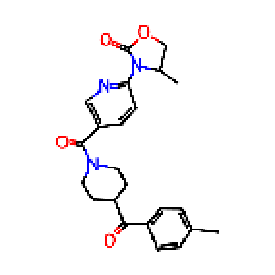 Cc1ccc(C(=O)C2CCN(C(=O)c3ccc(N4C(=O)OCC4C)nc3)CC2)cc1